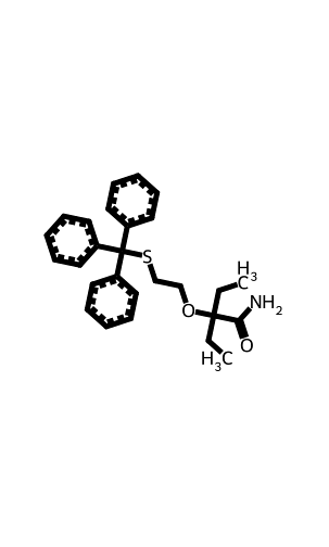 CCC(CC)(OCCSC(c1ccccc1)(c1ccccc1)c1ccccc1)C(N)=O